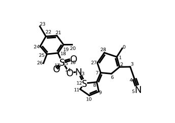 CC1=C(CC#N)CC(=C2C=CCS2=NOS(=O)(=O)c2c(C)cc(C)cc2C)C=C1